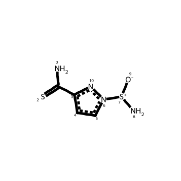 NC(=S)c1ccn([S+](N)[O-])n1